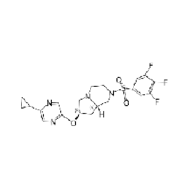 O=S(=O)(c1cc(F)c(F)c(F)c1)N1CCN2C[C@H](Oc3cnc(C4CC4)cn3)C[C@H]2C1